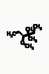 CC[C@@H](OC)C(C)(C)CC